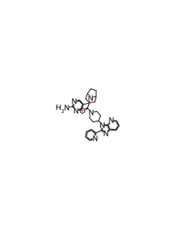 Nc1ncc(CN2C3CCC2CC(C(=O)N2CCC(n4c(-c5ccccn5)nc5cccnc54)CC2)C3)cn1